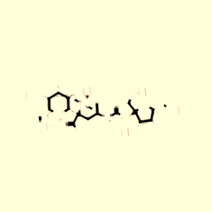 CC(CC(C(=O)[O-])([C@H]1O[C@H](CO)[C@@H](O)[C@H](O)[C@H]1O)[N+](C)(C)C)NC(=O)OC1(CO)O[C@H](CO)[C@@H](O)[C@@H]1O